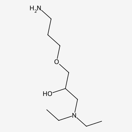 CCN(CC)CC(O)COCCCN